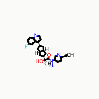 C#Cc1ccc(NC(=O)C(C)(O)[C@H]2C[C@H]3C[C@@H](c4ccnc5ccc(F)cc45)C[C@H]3C2)cn1